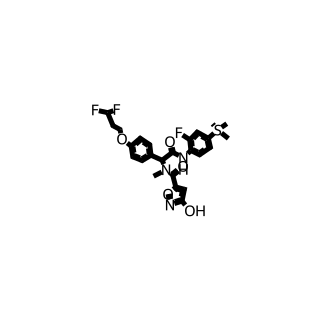 CN(C(=O)c1cc(O)no1)C(C(=O)Nc1ccc(S(C)(C)C)cc1F)c1ccc(OCCC(F)F)cc1